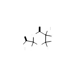 O=C(F)C1(C(F)(F)F)OC(=O)C(F)(C(F)(F)F)C(F)(F)O1